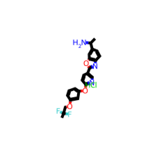 CC(N)c1ccc2nc(-c3ccc(Oc4cccc(OCC(C)(F)F)c4)nc3)oc2c1.Cl